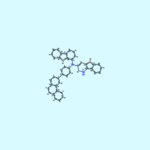 C1=C(N(c2ccc(-c3ccc4ccc5ccccc5c4c3)cc2)c2cccc3c2sc2ccccc23)CNc2c1sc1ccccc21